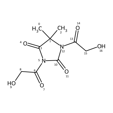 CC1(C)C(=O)N(C(=O)CO)C(=O)N1C(=O)CO